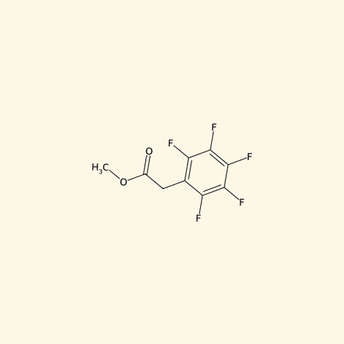 COC(=O)Cc1c(F)c(F)c(F)c(F)c1F